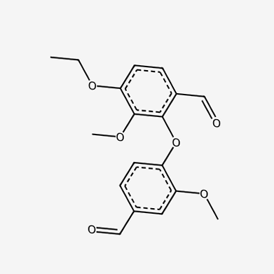 CCOc1ccc(C=O)c(Oc2ccc(C=O)cc2OC)c1OC